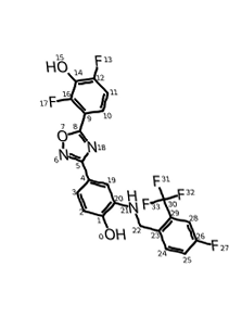 Oc1ccc(-c2noc(-c3ccc(F)c(O)c3F)n2)cc1NCc1ccc(F)cc1C(F)(F)F